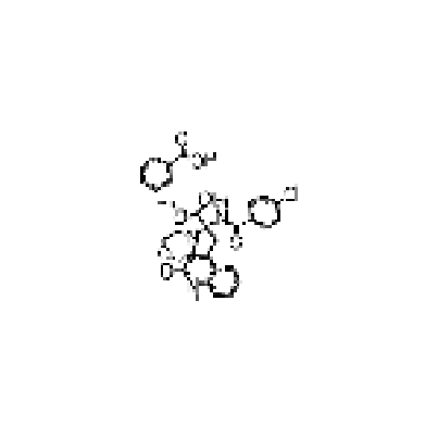 CCOC(=O)C(Cc1cc(=O)[nH]c2ccccc12)(NC(=O)c1ccc(Cl)cc1)N1CCOCC1.O=C(O)c1ccccc1